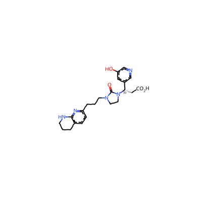 O=C(O)C[C@@H](c1cncc(O)c1)N1CCN(CCCc2ccc3c(n2)NCCC3)C1=O